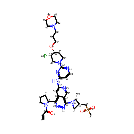 C=CC(=O)N1CCCC1c1nnc(N2C[C@H](CS(C)(=O)=O)[C@H]2C)c2cnc(Nc3ccnc(N4CC[C@@H](OCCCN5CCOCC5)[C@@H](F)C4)n3)cc12